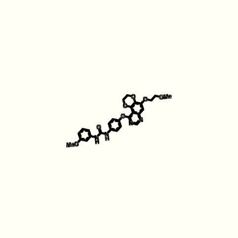 COCCOc1cc2ncnc(Oc3ccc(NC(=O)Nc4cccc(OC)c4)cc3)c2c2c1OCCO2